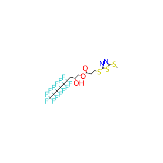 CSc1nnc(SCCC(=O)OCC(O)CC(F)(F)C(F)(F)C(F)(F)C(F)(F)C(F)(F)C(F)(F)F)s1